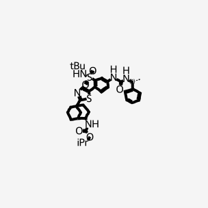 CC(C)OC(=O)NC1CCC2(c3ncc(-c4ccc(NC(=O)N[C@H](C)c5ccccc5)cc4S(=O)(=O)NC(C)(C)C)s3)CCCC1C2